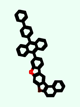 c1ccc(-c2ccc(-c3c4ccccc4c(-c4ccc5c(c4)oc4cc6sc7ccc8ccccc8c7c6cc45)c4ccccc34)cc2)cc1